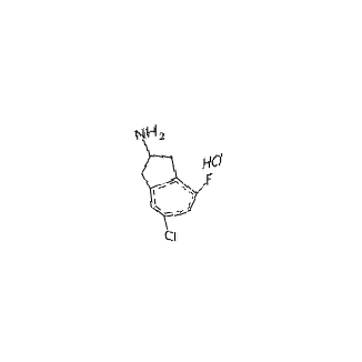 Cl.NC1Cc2cc(Cl)cc(F)c2C1